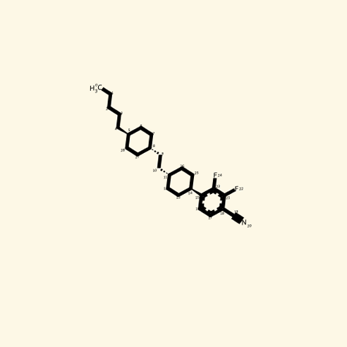 CCCCC[C@H]1CC[C@H](CC[C@H]2CC[C@H](c3ccc(C#N)c(F)c3F)CC2)CC1